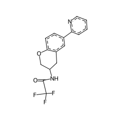 O=C(NC1COc2ccc(-c3ccccn3)cc2C1)C(F)(F)F